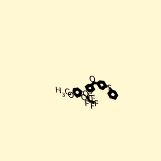 COc1cccc(OC(F)(Oc2ccc(C(=O)c3ccc(Sc4ccccc4)cc3)cc2)C(F)C(F)(F)F)c1